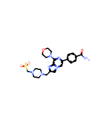 NC(=O)c1ccc(-c2cn3cc(CN4CCN(C[SH](=O)=O)CC4)nc3c(N3CCOCC3)n2)cc1